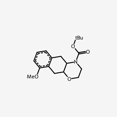 COc1cccc2c1CC1OCCN(C(=O)OC(C)(C)C)C1C2